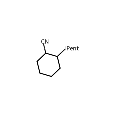 CCCC(C)C1CCCCC1C#N